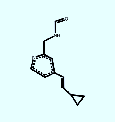 O=CNCc1cc(/C=C/C2CC2)ccn1